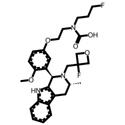 COc1ccc(OCCN(CCCF)C(=O)O)cc1[C@@H]1c2[nH]c3ccccc3c2C[C@@H](C)N1CC1(F)COC1